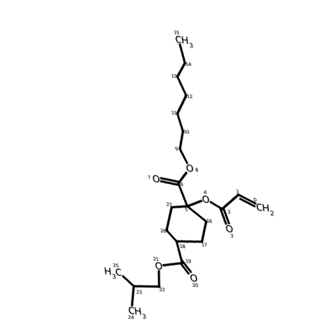 C=CC(=O)OC1(C(=O)OCCCCCCC)CCC(C(=O)OCC(C)C)CC1